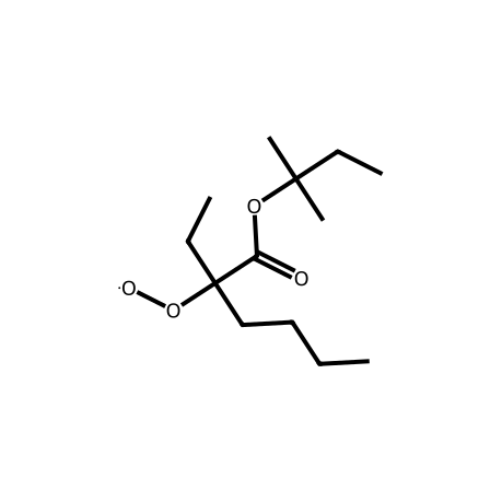 CCCCC(CC)(O[O])C(=O)OC(C)(C)CC